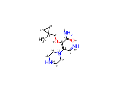 CC1(CO/C(C(N)=O)=C(/C=N)N2CCNCC2)CC1